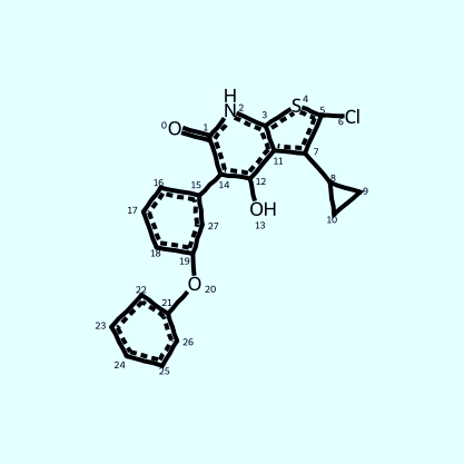 O=c1[nH]c2sc(Cl)c(C3CC3)c2c(O)c1-c1cccc(Oc2ccccc2)c1